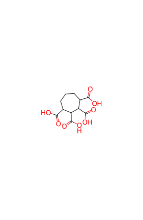 O=C(O)C1CCCC(C(=O)O)C(C(=O)O)C1C(=O)O